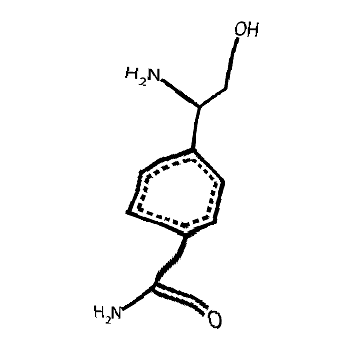 NC(=O)c1ccc(C(N)CO)cc1